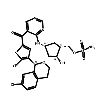 NS(=O)(=O)OC[C@H]1C[C@@H](Nc2ncncc2C(=O)c2cc([C@H]3OCCc4ccc(Cl)cc43)c(Cl)s2)C[C@@H]1O